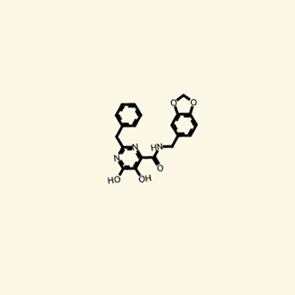 O=C(NCc1ccc2c(c1)OCO2)c1nc(Cc2ccccc2)nc(O)c1O